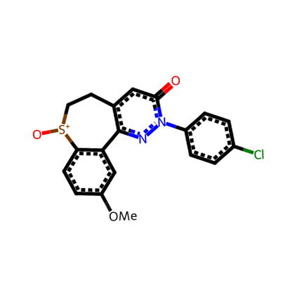 COc1ccc2c(c1)-c1nn(-c3ccc(Cl)cc3)c(=O)cc1CC[S+]2[O-]